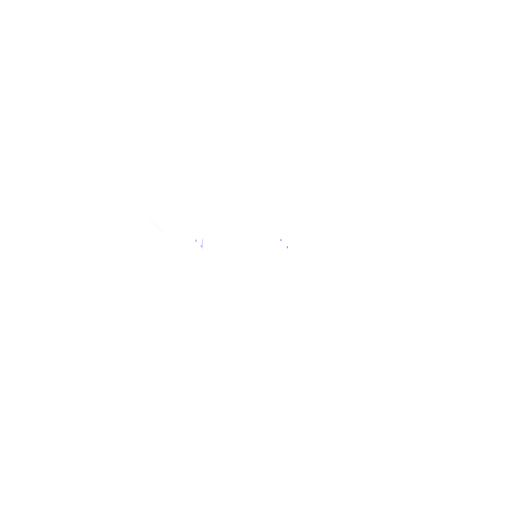 CC1(C)c2ccccc2-c2ccc(-c3ccc(N(c4ccccc4)c4ccc5c(c4)c4cc(-c6ccc7c(c6)C6(c8ccccc8-c8ccccc86)c6ccccc6-7)ccc4n5-c4ccccc4)cc3)cc21